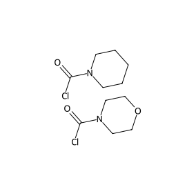 O=C(Cl)N1CCCCC1.O=C(Cl)N1CCOCC1